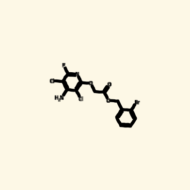 Nc1c(Cl)c(F)nc(OCC(=O)OCc2ccccc2Br)c1Cl